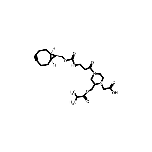 CC(C)C(=O)OCC1CN(C(=O)CCNC(=O)OC[C@@H]2[C@@H]3CCC#CCC[C@@H]32)CCN1CC(=O)O